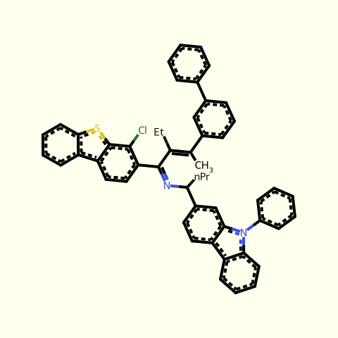 CCCC(/N=C(\C(CC)=C(/C)c1cccc(-c2ccccc2)c1)c1ccc2c(sc3ccccc32)c1Cl)c1ccc2c3ccccc3n(-c3ccccc3)c2c1